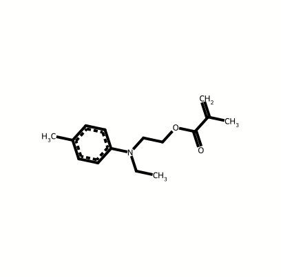 C=C(C)C(=O)OCCN(CC)c1ccc(C)cc1